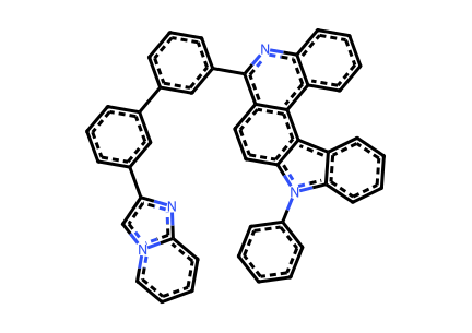 c1ccc(-n2c3ccccc3c3c4c(ccc32)c(-c2cccc(-c3cccc(-c5cn6ccccc6n5)c3)c2)nc2ccccc24)cc1